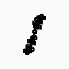 COC(=O)N[C@H](C(=O)CN[C@@H](C)c1ncc(C2CCC(C3COC(c4cnc([C@@H](C)CNC(=O)[C@@H](NC(=O)OC)C(C)C)[nH]4)OC3)CC2)[nH]1)C(C)C